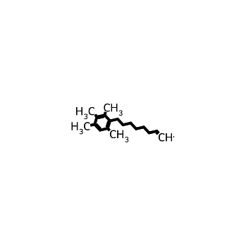 [CH]=CCCCCCCc1c(C)cc(C)c(C)c1C